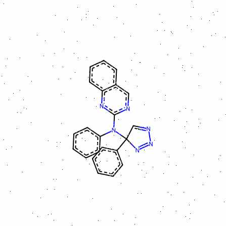 C1=NN=NC1(c1ccccc1)N(c1ccccc1)c1ncc2ccccc2n1